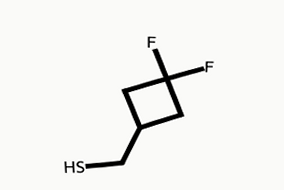 FC1(F)CC(CS)C1